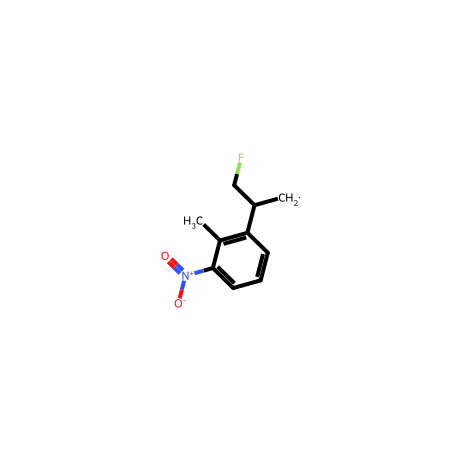 [CH2]C(CF)c1cccc([N+](=O)[O-])c1C